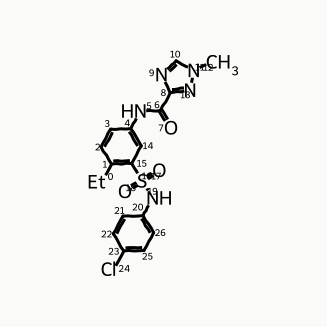 CCc1ccc(NC(=O)c2ncn(C)n2)cc1S(=O)(=O)Nc1ccc(Cl)cc1